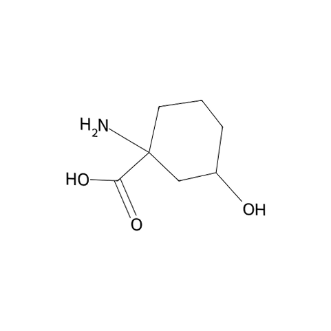 NC1(C(=O)O)CCCC(O)C1